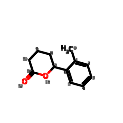 Cc1ccccc1C1CCCC(=O)O1